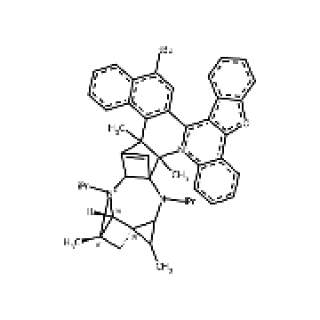 CC(C)N1C2C(C)[C@]23C[C@@]2(C)[C@@H]3[N+]2(C(C)C)C2C3=CC21C1(C)[n+]2c(c4c5ccccc5oc4c4ccccc42)-c2cc(C(C)(C)C)c4ccccc4c2C31C